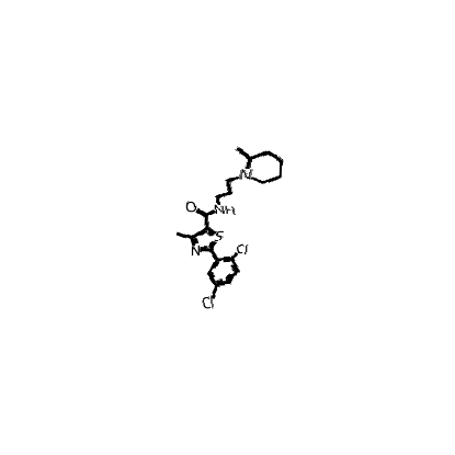 Cc1nc(-c2cc(Cl)ccc2Cl)sc1C(=O)NCCCN1CCCCC1C